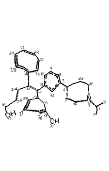 CC(C)N1CCC(c2cccc(/C(=C(/CCCO)C3=C=CC=CC=C3)C3C=CC=C(O)C3)c2)CC1